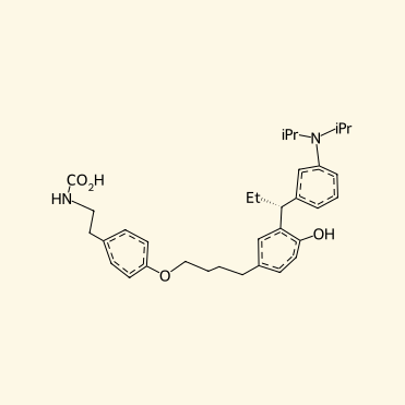 CC[C@H](c1cccc(N(C(C)C)C(C)C)c1)c1cc(CCCCOc2ccc(CCNC(=O)O)cc2)ccc1O